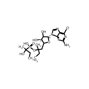 CCC(C)(CC1O[C@@H](n2cnc3c(Cl)nc(N)nc32)C(O)[C@@H]1O)OP(=O)(O)C(C)(O)CC